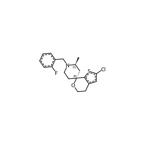 C[C@H]1C[C@@]2(CCN1Cc1ccccc1F)OCCc1cc(Cl)sc12